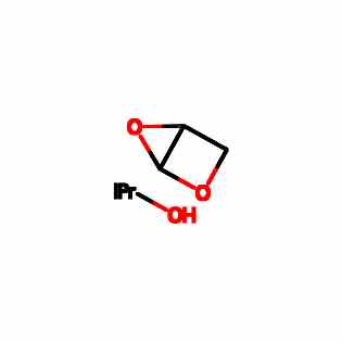 C1OC2OC12.CC(C)O